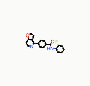 O=C(Nc1ccccc1F)c1ccc(-c2nccc3occc23)cc1